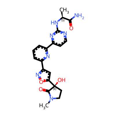 C[C@H](Nc1nccc(-c2cccc(-c3cc([C@]4(O)CCN(C)C4=O)on3)n2)n1)C(N)=O